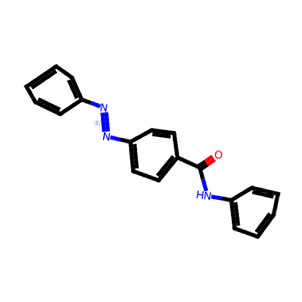 O=C(Nc1ccccc1)c1ccc(/N=N/c2ccccc2)cc1